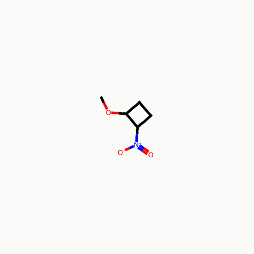 COC1CCC1[N+](=O)[O-]